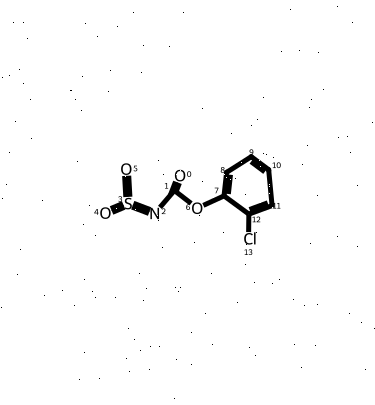 O=C(N=S(=O)=O)Oc1ccccc1Cl